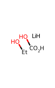 CCO.O=C(O)O.[LiH]